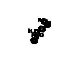 C[C@@H](C(=O)NCc1ccccc1)C1CCC(c2ccnc3ccc(F)cc23)CC1